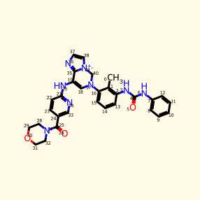 Cc1c(NC(=O)Nc2ccccc2)cccc1N1C=C(Nc2ccc(C(=O)N3CCOCC3)cn2)C2=NC=C[N+]2C1